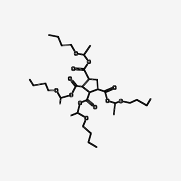 CCCCOC(C)OC(=O)C1CC(C(=O)OC(C)OCCCC)C(C(=O)OC(C)OCCCC)C1C(=O)OC(C)OCCCC